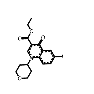 CCOC(=O)c1cn(C2CCOCC2)c2ccc(I)cc2c1=O